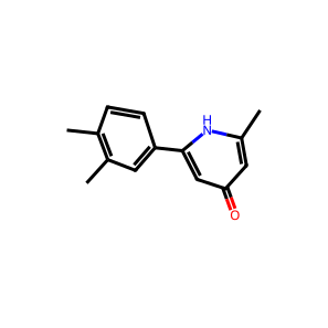 Cc1cc(=O)cc(-c2ccc(C)c(C)c2)[nH]1